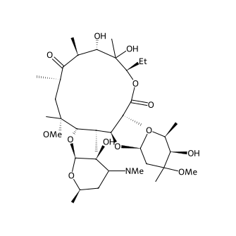 CC[C@H]1OC(=O)[C@H](C)[C@@H](O[C@@H]2CC(C)(OC)[C@H](O)[C@H](C)O2)[C@H](C)[C@H](O[C@@H]2O[C@H](C)CC(NC)[C@@H]2O)[C@](C)(OC)C[C@H](C)C(=O)[C@@H](C)[C@H](O)C1(C)O